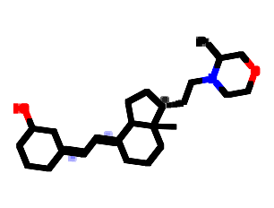 CC(C)C1COCCN1CC[C@H]1CCC2/C(=C/C=C3/CCCC(O)C3)CCCC21C